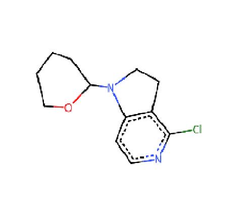 Clc1nccc2c1CCN2C1CCCCO1